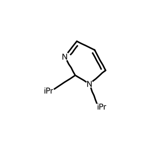 CC(C)C1N=CC=CN1C(C)C